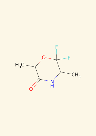 CC1OC(F)(F)C(C)NC1=O